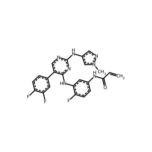 C=CC(=O)Nc1ccc(F)c(Nc2nc(Nc3cnn(C)c3)ncc2-c2ccc(F)c(F)c2)c1